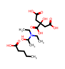 CCCCC(=O)O.CCN(CC)C(C)O.O=C(O)CC(O)(CC(=O)O)C(=O)O